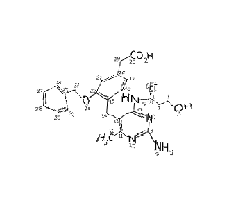 CC[C@@H](CCO)Nc1nc(N)nc(C)c1Cc1ccc(CC(=O)O)cc1OCc1ccccc1